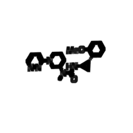 COc1ccccc1[C@@H]1C[C@H]1NC(=O)N(C)[C@@H]1CCCN(c2cccnn2)C1